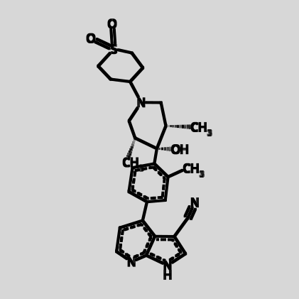 Cc1cc(-c2ccnc3[nH]cc(C#N)c23)ccc1[C@@]1(O)[C@H](C)CN(C2CCS(=O)(=O)CC2)C[C@@H]1C